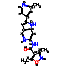 Cc1cc(-c2cc3cnc(NC(=O)c4c(C)noc4C)cc3[nH]2)ccn1